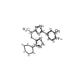 CN(Cc1nnnn1C1CCCCC1)c1nnc(-c2ccc(F)c(O)c2)o1